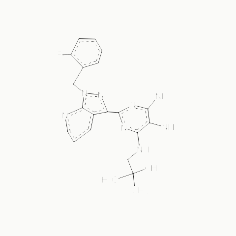 CC(C)(C)CNc1nc(-c2nn(Cc3ccccc3F)c3ncccc23)nc(N)c1N